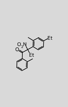 CCc1ccc(C(CC)(C(=O)c2ccccc2C)[N+](=O)[O-])c(C)c1